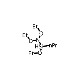 CCC[SiH](OCC)N(OCC)OCC